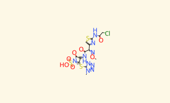 CON=C(C(=O)N[C@@H]1C(=O)N(S(=O)(=O)O)[C@H]1Sc1nnnn1C)c1csc(NC(=O)CCl)n1